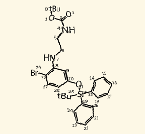 CC(C)(C)OC(=O)NCCNc1cc(O[Si](c2ccccc2)(c2ccccc2)C(C)(C)C)ccc1Br